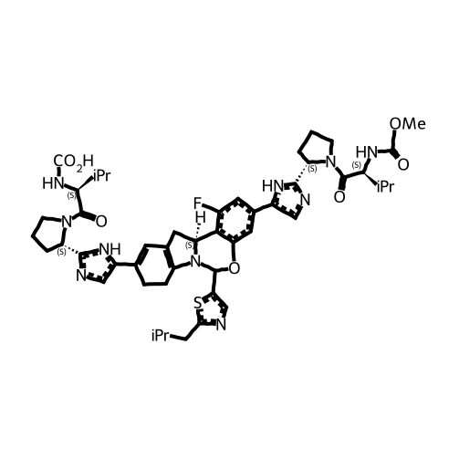 COC(=O)N[C@H](C(=O)N1CCC[C@H]1c1ncc(-c2cc(F)c3c(c2)OC(c2cnc(CC(C)C)s2)N2C4=C(C=C(c5cnc([C@@H]6CCCN6C(=O)[C@@H](NC(=O)O)C(C)C)[nH]5)CC4)C[C@@H]32)[nH]1)C(C)C